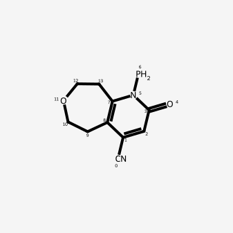 N#Cc1cc(=O)n(P)c2c1CCOCC2